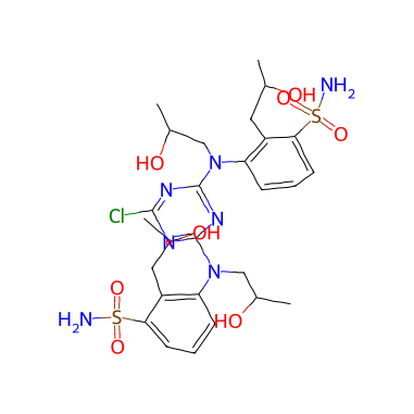 CC(O)Cc1c(N(CC(C)O)c2nc(Cl)nc(N(CC(C)O)c3cccc(S(N)(=O)=O)c3CC(C)O)n2)cccc1S(N)(=O)=O